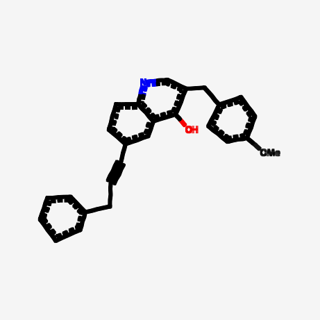 COc1ccc(Cc2cnc3ccc(C#CCc4ccccc4)cc3c2O)cc1